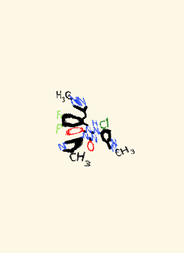 Cc1cncc(-n2c(=O)nc(Nc3cc4cn(C)nc4cc3Cl)n(Cc3cc(F)c(F)cc3Cc3cnn(C)c3)c2=O)c1